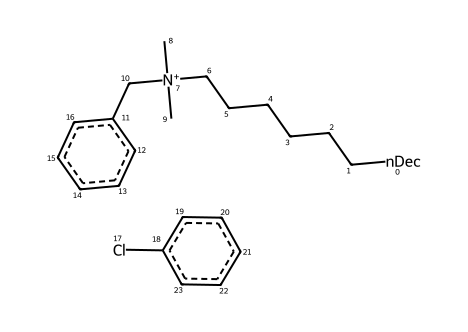 CCCCCCCCCCCCCCCC[N+](C)(C)Cc1ccccc1.Clc1ccccc1